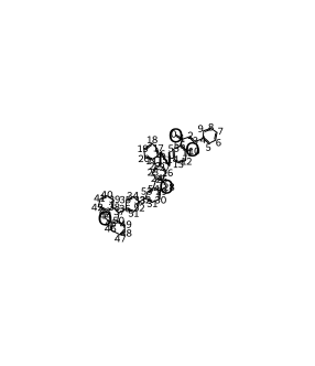 O=c1cc(-c2ccccc2)oc2ccc(-n3c4ccccc4c4cc5c(cc43)oc3ccc(-c4ccc(C6c7ccccc7Oc7ccccc76)cc4)cc35)cc12